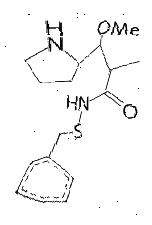 COC(C1CCCN1)C(C)C(=O)NSCc1ccccc1